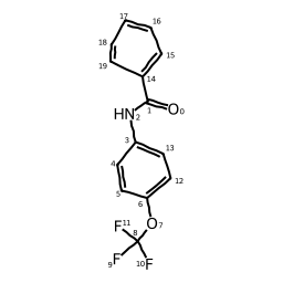 O=C(Nc1ccc(OC(F)(F)F)cc1)c1ccccc1